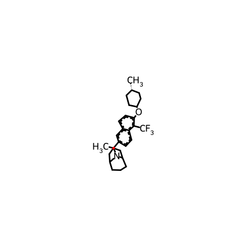 CC(c1ccc2c(C(F)(F)F)c(O[C@H]3CC[C@@H](C)CC3)ccc2c1)N1C2CCCC1CCC2